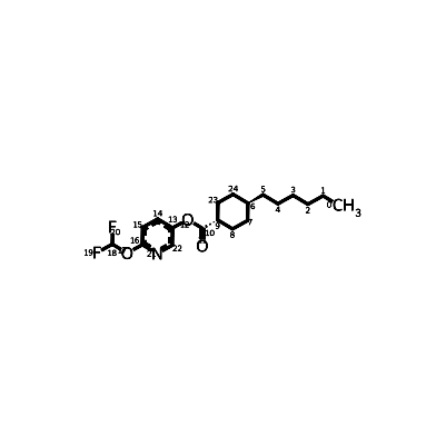 CCCCCC[C@H]1CC[C@H](C(=O)Oc2ccc(OC(F)F)nc2)CC1